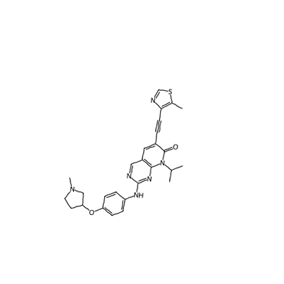 Cc1scnc1C#Cc1cc2cnc(Nc3ccc(OC4CCN(C)C4)cc3)nc2n(C(C)C)c1=O